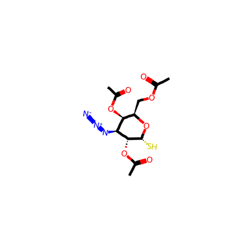 CC(=O)OC[C@H]1O[C@H](S)[C@H](OC(C)=O)[C@@H](N=[N+]=[N-])[C@H]1OC(C)=O